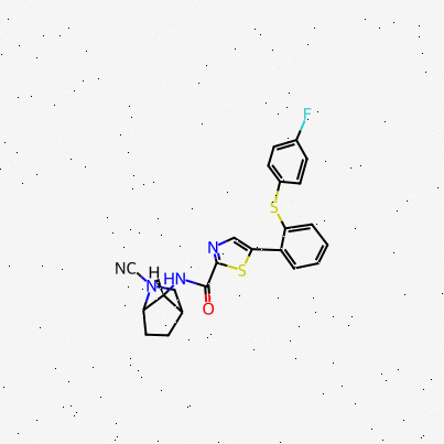 N#CN1CC2CCC1[C@@H]2NC(=O)c1ncc(-c2ccccc2Sc2ccc(F)cc2)s1